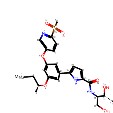 COC[C@H](C)Oc1cc(Oc2ccc(S(C)(=O)=O)nc2)cc(-c2ccc(C(=O)N[C@H](CO)[C@@H](C)O)[nH]2)c1